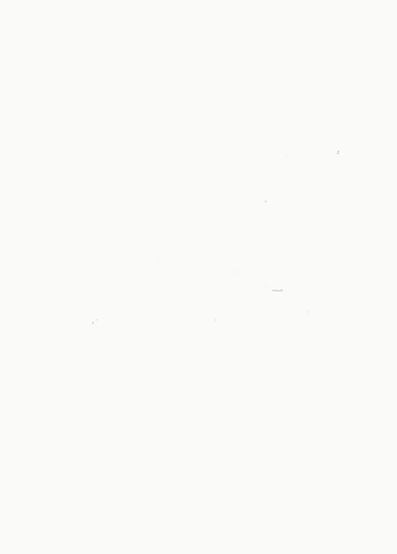 Cc1ccc(-c2ccc([PH](=O)c3ccccc3)s2)s1